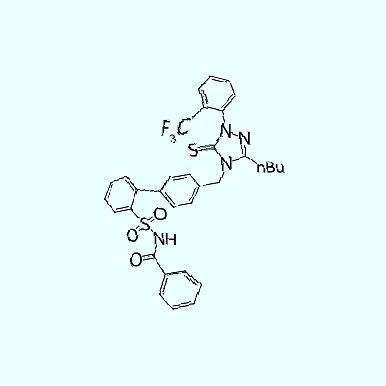 CCCCc1nn(-c2ccccc2C(F)(F)F)c(=S)n1Cc1ccc(-c2ccccc2S(=O)(=O)NC(=O)c2ccccc2)cc1